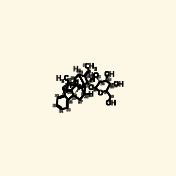 C/C=C1/[C@@H](O[C@@H]2O[C@H](CO)[C@@H](O)[C@H](O)[C@H]2O)N2[C@H]3C[C@@H]1C1C(OC(C)=O)[C@@]4(C[C@@H]12)C3=Nc1ccccc14